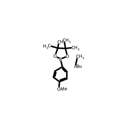 CCCCC.COc1ccc(B2OC(C)(C)C(C)(C)O2)cc1